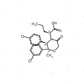 CCC[C@@H](C(=O)O)N1C(=O)CO[C@@](C)(c2cccc(Cl)c2)[C@H]1c1ccc(Cl)cc1